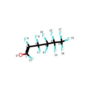 [O]C(F)=C(F)C(F)(F)C(F)(F)C(F)(F)C(F)(F)F